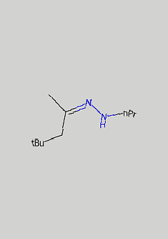 CCCNN=C(C)CC(C)(C)C